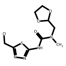 CN(CC1OCCO1)C(=O)Nc1nnc(CCl)s1